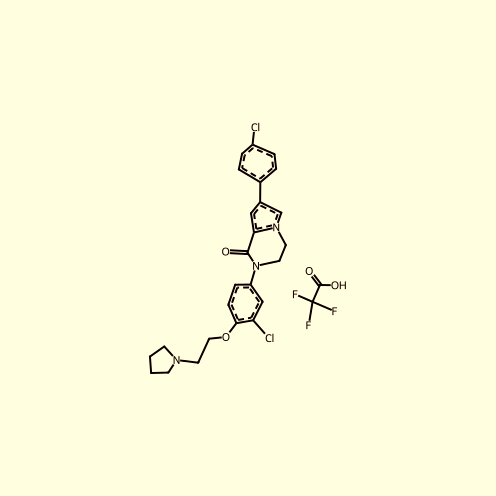 O=C(O)C(F)(F)F.O=C1c2cc(-c3ccc(Cl)cc3)cn2CCN1c1ccc(OCCN2CCCC2)c(Cl)c1